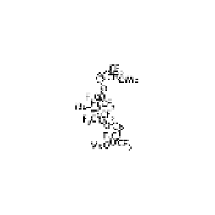 CCC(C)c1cc(C(OCOC2CC3CC(CC(OCOC)(C(F)(F)F)C(F)(F)F)C2C3)(C(F)(F)F)C(F)(F)F)cc(C(OCOC2CC3CC(CC(OCOC)(C(F)(F)F)C(F)(F)F)C2C3)(C(F)(F)F)C(F)(F)F)c1